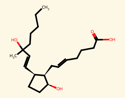 CCCCCC(C)(O)C=C[C@@H]1CC[C@H](O)[C@@H]1CC=CCCCC(=O)O